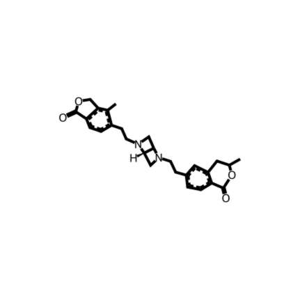 Cc1c(CCN2CC3[C@@H]2CN3CCc2ccc3c(c2)CC(C)OC3=O)ccc2c1COC2=O